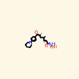 CC(/C=C/C(=O)NO)=C\[C@@H](C)C(=O)c1ccc(N2CCCCC2)cc1